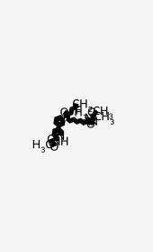 C=C(F)CCC(=O)N(CCCCCc1nc(C(C)(C)C)no1)c1cccc(-c2ccc(NS(C)(=O)=O)nc2)c1